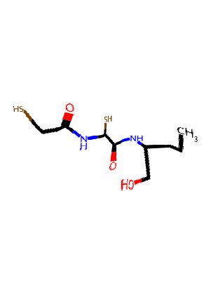 CCC(CO)NC(=O)C(S)NC(=O)CS